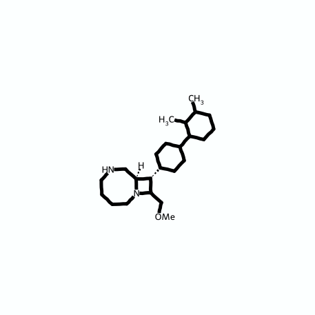 COCC1[C@@H](C2CCC(C3CCCC(C)C3C)CC2)[C@@H]2CNCCCCN12